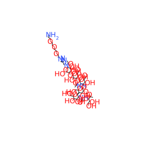 CC(=O)NC1C(OC2C(O)C(CO)OC(OC3C(O)C(O)[C@@H](N(Cc4cn(CCOCCOCCOCCN)nn4)C(C)=O)O[C@H]3CO)C2O)OC(CO)C(O)C1OC1OC(CO)/C(=C2\OC(CO)C(O)C(O)[C@@H]2NC(C)=O)[C@@H](O)C1O[C@@H](C)OC(C)C(O)[C@H](O)CO